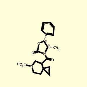 C[C@H]1[C@@H](c2ccccc2)OC(=O)N1C(=O)C1CN(C(=O)O)CCC12CC2